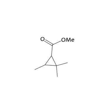 COC(=O)C1C(C)C1(C)C